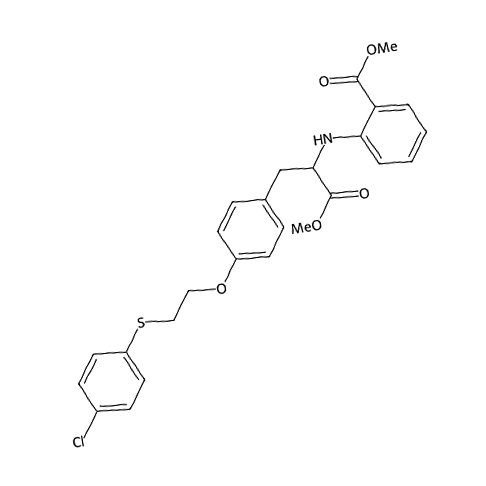 COC(=O)c1ccccc1NC(Cc1ccc(OCCSc2ccc(Cl)cc2)cc1)C(=O)OC